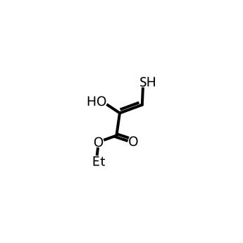 CCOC(=O)C(O)=CS